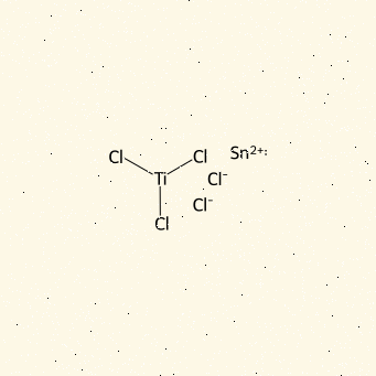 [Cl-].[Cl-].[Cl][Ti]([Cl])[Cl].[Sn+2]